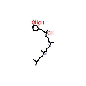 CC(C)=CCC/C(C)=C/CC/C(C)=C/CCC(C)(O)CCc1cccc(O)c1O